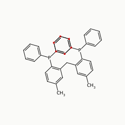 Cc1ccc(P(c2ccccc2)c2ccccc2)c(Cc2cc(C)ccc2P(c2ccccc2)c2ccccc2)c1